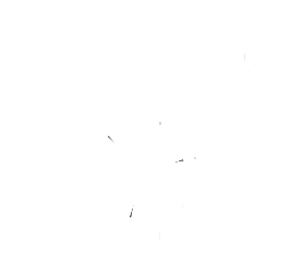 CCc1c([C@@H]2O[C@H](CO)[C@@H](O)[C@H](O)[C@H]2O)cc(Cc2ccc(OC(C)C)cc2)c2c1CCC2